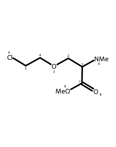 CNC(COCCCl)C(=O)OC